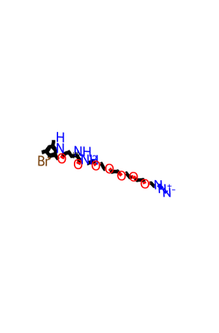 Cc1cc(C)c(NC(=O)CC[C@H](N)C(=O)NCCOCCOCCOCCOCCOCCN=[N+]=[N-])c(C)c1Br